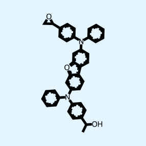 CC(O)c1ccc(N(c2ccccc2)c2ccc3c(c2)oc2cc(N(c4ccccc4)c4ccc(C5CO5)cc4)ccc23)cc1